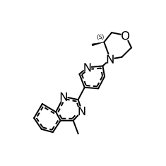 Cc1nc(-c2ccc(N3CCOC[C@@H]3C)nc2)nc2ccccc12